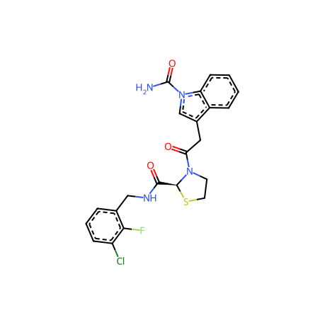 NC(=O)n1cc(CC(=O)N2CCS[C@H]2C(=O)NCc2cccc(Cl)c2F)c2ccccc21